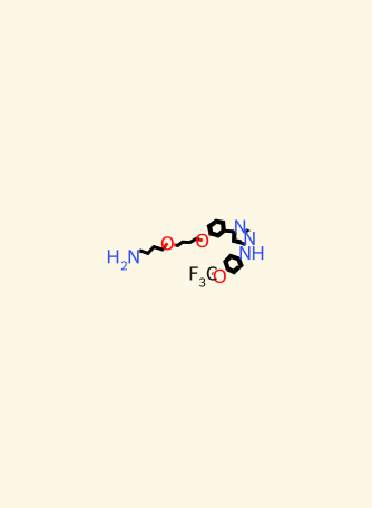 NCCCCOCCCCOc1cccc(-c2cc(Nc3ccc(OC(F)(F)F)cc3)ncn2)c1